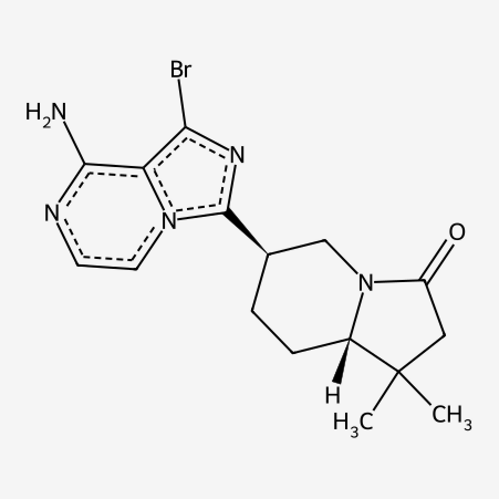 CC1(C)CC(=O)N2C[C@H](c3nc(Br)c4c(N)nccn34)CC[C@H]21